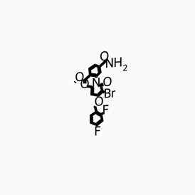 COC(=O)c1ccc(C(N)=O)cc1-n1c(C)cc(OCc2ccc(F)cc2F)c(Br)c1=O